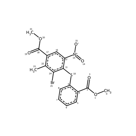 COC(=O)c1ccccc1Sc1c([N+](=O)[O-])cc(C(=O)OC)c(C)c1Br